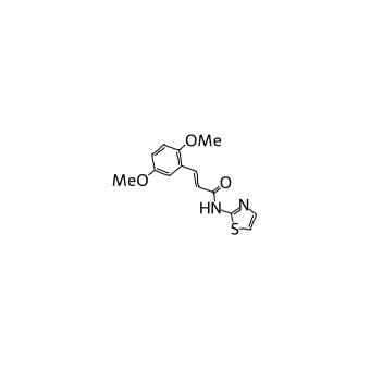 COc1ccc(OC)c(/C=C/C(=O)Nc2nccs2)c1